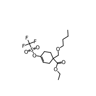 CCCCOCC1(C(=O)OCC)CC=C(OS(=O)(=O)C(F)(F)F)CC1